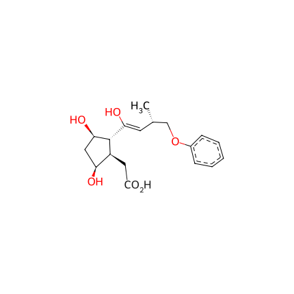 C[C@@H](C=C(O)[C@@H]1[C@@H](CC(=O)O)[C@@H](O)C[C@H]1O)COc1ccccc1